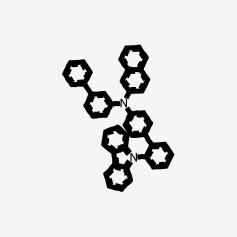 c1ccc(-c2cccc(N(c3ccc(-c4ccccc4-n4c5ccccc5c5ccccc54)cc3)c3ccc4ccccc4c3)c2)cc1